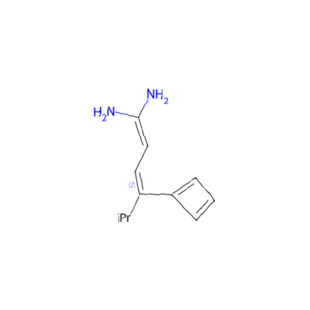 CC(C)/C(=C/C=C(N)N)C1=CC=C1